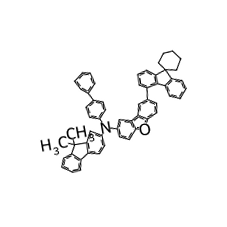 CC1(C)c2ccccc2-c2ccc(N(c3ccc(-c4ccccc4)cc3)c3ccc4oc5ccc(-c6cccc7c6-c6ccccc6C76CCCCC6)cc5c4c3)cc21